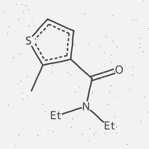 CCN(CC)C(=O)c1ccsc1C